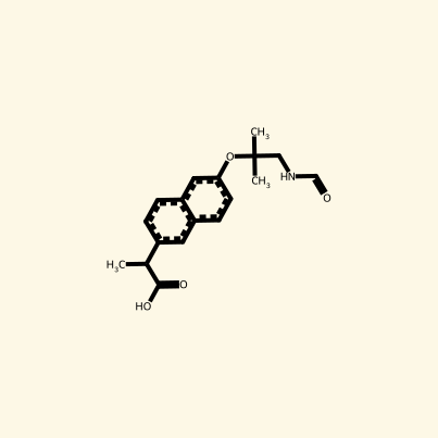 CC(C(=O)O)c1ccc2cc(OC(C)(C)CNC=O)ccc2c1